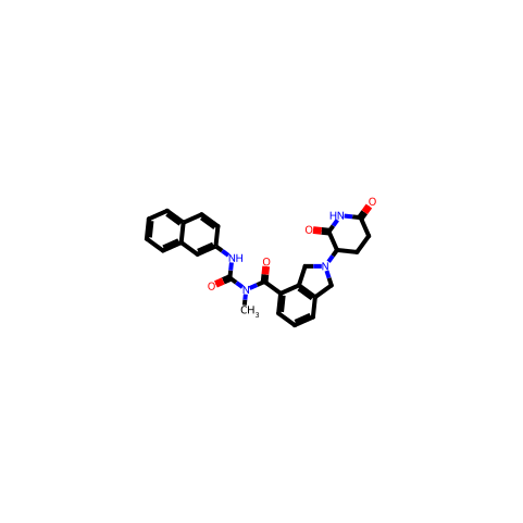 CN(C(=O)Nc1ccc2ccccc2c1)C(=O)c1cccc2c1CN(C1CCC(=O)NC1=O)C2